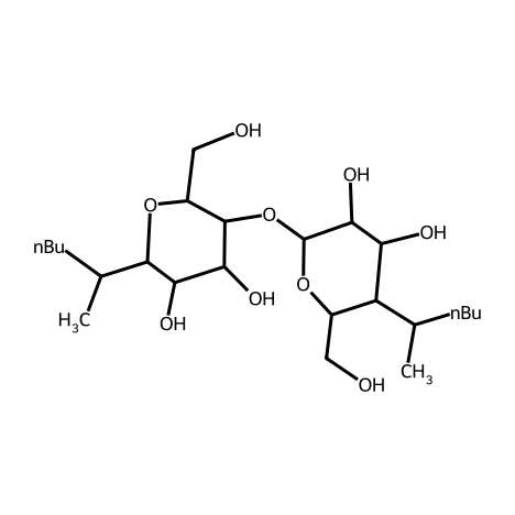 CCCCC(C)C1OC(CO)C(OC2OC(CO)C(C(C)CCCC)C(O)C2O)C(O)C1O